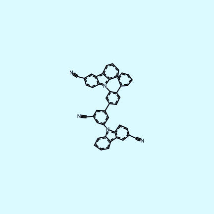 N#Cc1cc(-c2ccc(-c3ccccc3)c(-n3c4ccccc4c4cc(C#N)ccc43)c2)cc(-n2c3ccccc3c3cc(C#N)ccc32)c1